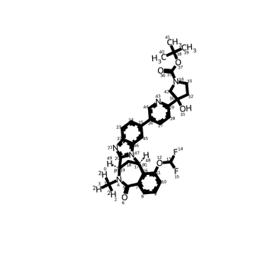 [2H]C([2H])([2H])N1C(=O)c2cccc(OC(F)F)c2[C@H]2C[C@@H]1c1nc3ccc(-c4ccc(C5(O)CCN(C(=O)OC(C)(C)C)C5)nc4)cc3n12